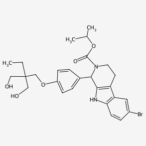 CCC(CO)(CO)COc1ccc(C2c3[nH]c4ccc(Br)cc4c3CCN2C(=O)OC(C)C)cc1